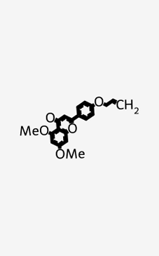 C=CCOc1ccc(-c2cc(=O)c3c(OC)cc(OC)cc3o2)cc1